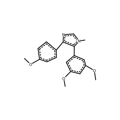 COc1ccc(-c2ncn(C)c2-c2cc(OC)cc(OC)c2)cc1